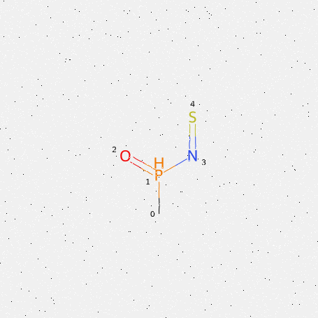 C[PH](=O)N=S